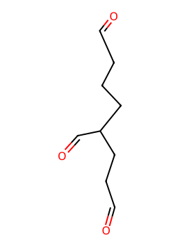 O=CCCCC(C=O)CCC=O